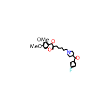 COc1cc(OC)c2c(=O)c(CCCCCN3CCC(C(=O)c4ccc(F)cc4)CC3)coc2c1